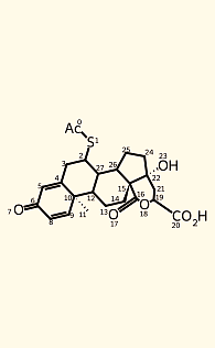 CC(=O)SC1CC2=CC(=O)C=C[C@]2(C)C2CC[C@]34C(=O)OC(C(=O)O)C[C@]3(O)CCC4C12